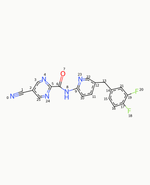 N#Cc1cnc(C(=O)Nc2ccc(Cc3ccc(F)c(F)c3)cn2)nc1